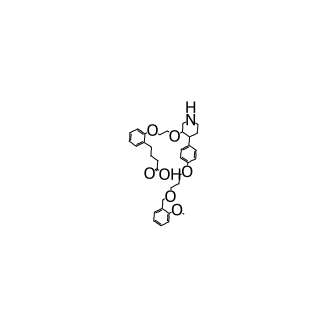 COc1ccccc1COCCCOc1ccc(C2CCNCC2OCCOc2ccccc2CCCC(=O)O)cc1